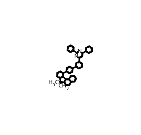 CC1(C)c2cccc(-c3ccc(-c4cccc(-c5cc(-c6ccccc6)nc(-c6ccccc6)n5)c4)cc3)c2-c2c1ccc1ccccc21